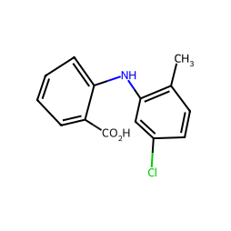 Cc1ccc(Cl)cc1Nc1ccccc1C(=O)O